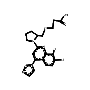 O=C(O)CCOCC1CCCN1c1cc(-n2ccnn2)c2ccc(Cl)c(Cl)c2n1